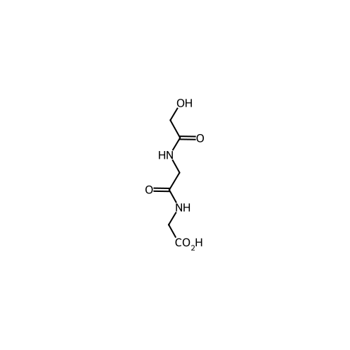 O=C(O)CNC(=O)CNC(=O)CO